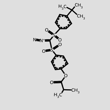 CC(C)C(=O)Oc1ccc(S(=O)(=O)C(=[N+]=[N-])S(=O)(=O)c2ccc(C(C)(C)C)cc2)cc1